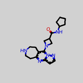 O=C(NC1CCCC1)C1CN(c2c3c(nc4ccnn24)CCNCC3)C1